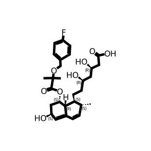 C[C@@H]1C=CC2=C[C@@H](O)C[C@H](OC(=O)C(C)(C)OCc3ccc(F)cc3)[C@@H]2[C@H]1CC[C@@H](O)C[C@@H](O)CC(=O)O